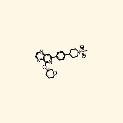 CS(=O)(=O)N1CCC(c2ccc(-c3cc4nccnc4c(O[C@@H]4CCCOC4)n3)cc2)CC1